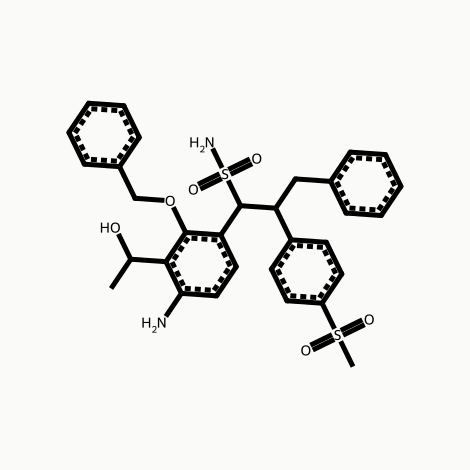 CC(O)c1c(N)ccc(C(C(Cc2ccccc2)c2ccc(S(C)(=O)=O)cc2)S(N)(=O)=O)c1OCc1ccccc1